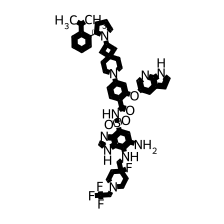 CC(C)c1ccccc1[C@@H]1CCCN1C1CC2(CCN(c3ccc(C(=O)NS(=O)(=O)c4cc(N)c(NCC5(F)CCN(CC(F)(F)F)CC5)c5[nH]cnc45)c(Oc4cnc5[nH]ccc5c4)c3)CC2)C1